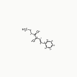 CCCC(=O)C(=O)C=Cc1ccccc1